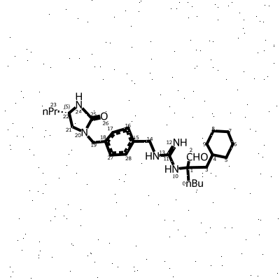 CCCCC(C=O)(CC1CCCCC1)NC(=N)NCc1ccc(CN2C[C@H](CCC)NC2=O)cc1